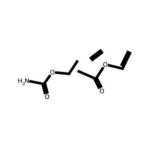 C=C.C=COC(C)=O.CCOC(N)=O